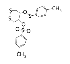 Cc1ccc(SOC2CSSCC2OS(=O)(=O)c2ccc(C)cc2)cc1